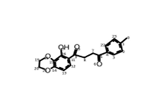 Cc1ccc(C(=O)CCC(=O)c2ccc3c(c2O)OCCO3)cc1